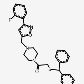 O=C(CSC(c1ccccc1)c1ccccc1)N1CCN(Cc2cc(-c3ccccc3F)no2)CC1